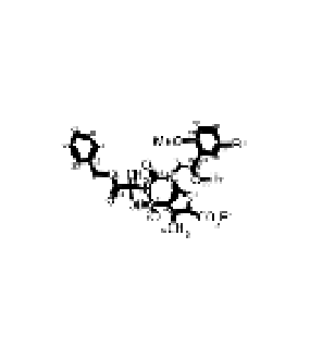 CCOC(=O)c1sc2c(c1C)S(=O)(=O)N(C(C)(C)C(=O)OCc1ccccc1)C(=O)N2C[C@H](OC(C)C)c1cc(F)ccc1OC